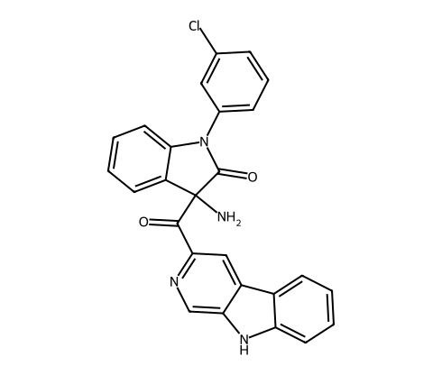 NC1(C(=O)c2cc3c(cn2)[nH]c2ccccc23)C(=O)N(c2cccc(Cl)c2)c2ccccc21